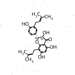 CC(C)=CCc1cc([C@H]2Oc3c(CC=C(C)C)c(O)cc(O)c3C(=O)[C@@H]2O)ccc1O